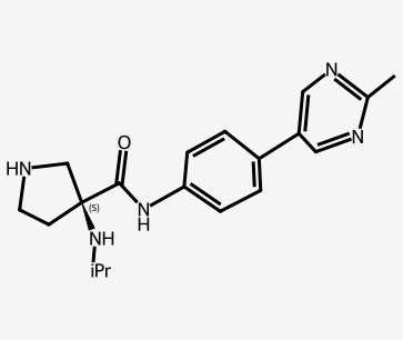 Cc1ncc(-c2ccc(NC(=O)[C@]3(NC(C)C)CCNC3)cc2)cn1